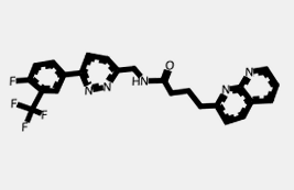 O=C(CCCc1ccc2cccnc2n1)NCc1ccc(-c2ccc(F)c(C(F)(F)F)c2)nn1